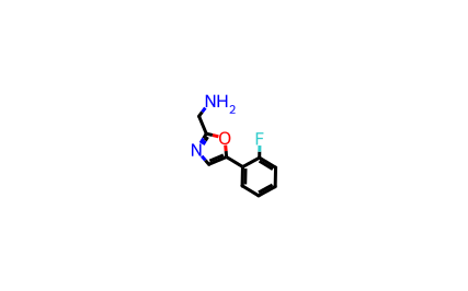 NCc1ncc(-c2ccccc2F)o1